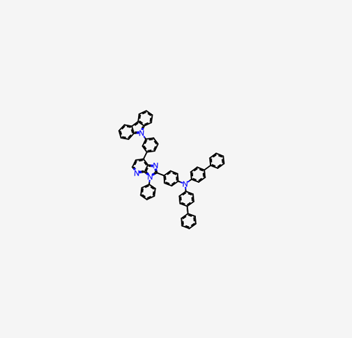 c1ccc(-c2ccc(N(c3ccc(-c4ccccc4)cc3)c3ccc(-c4nc5c(-c6cccc(-n7c8ccccc8c8ccccc87)c6)ccnc5n4-c4ccccc4)cc3)cc2)cc1